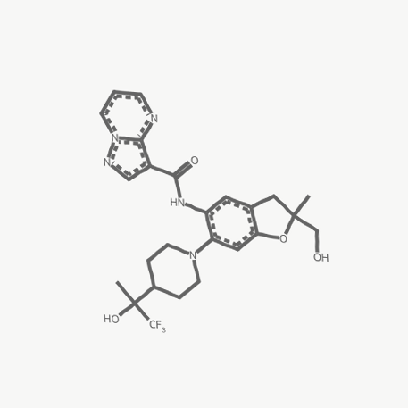 CC1(CO)Cc2cc(NC(=O)c3cnn4cccnc34)c(N3CCC(C(C)(O)C(F)(F)F)CC3)cc2O1